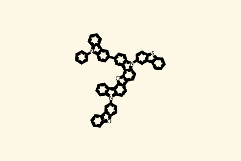 c1ccc(-n2c3ccccc3c3cc(-c4ccc5c(c4)c4c6oc7c(ccc8c7c7ccccc7n8-c7ccc8oc9ccccc9c8c7)c6ccc4n5-c4ccc5sc6ccccc6c5c4)ccc32)cc1